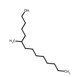 CCCCCCCCC(C)CCCCO